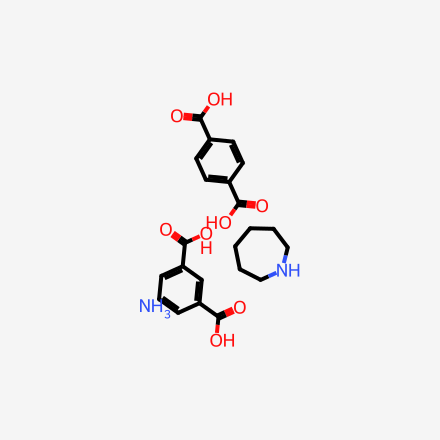 C1CCCNCC1.N.O=C(O)c1ccc(C(=O)O)cc1.O=C(O)c1cccc(C(=O)O)c1